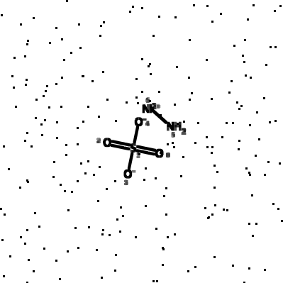 O=S(=O)([O-])[O-].[NH2][Ni+2]